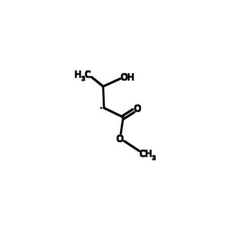 COC(=O)[CH]C(C)O